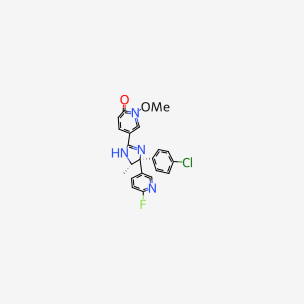 COn1cc(C2=N[C@@](c3ccc(Cl)cc3)(c3ccc(F)nc3)[C@H](C)N2)ccc1=O